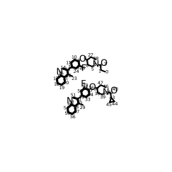 CCC(=O)N1CCC(Oc2ccc(-c3cnc4ccccc4c3C)cc2F)CC1.Cc1c(-c2ccc(OC3CCN(C(=O)C4CC4)CC3)c(F)c2)cnc2ccccc12